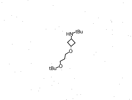 CC(C)(C)N[C@H]1C[C@H](OCCCOC(C)(C)C)C1